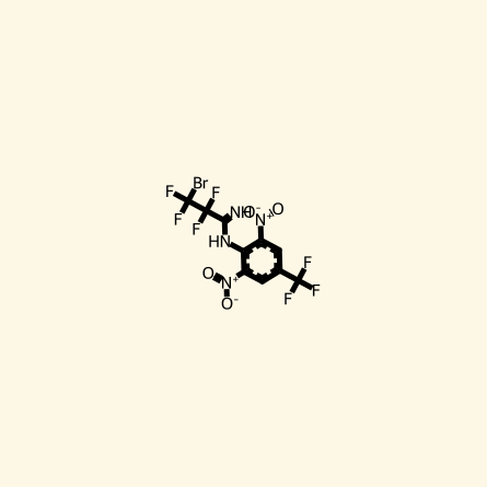 N=C(Nc1c([N+](=O)[O-])cc(C(F)(F)F)cc1[N+](=O)[O-])C(F)(F)C(F)(F)Br